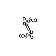 c1ccc(N(c2ccc3c(c2)oc2cc4ccccc4cc23)c2cccc3c2oc2cc4cc5c(cc4cc23)oc2c(N(c3ccccc3)c3ccc4c(c3)oc3cc6ccccc6cc34)cccc25)cc1